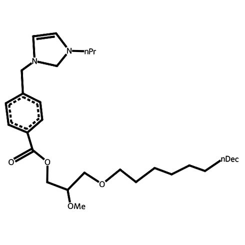 CCCCCCCCCCCCCCCCOCC(COC(=O)c1ccc(CN2C=CN(CCC)C2)cc1)OC